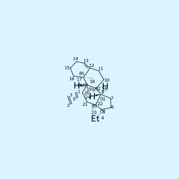 C=C.C=C.CC[C@H]1CC[C@H]2[C@@H]3CCC4=CCCC[C@]4(C)[C@H]3CC[C@]12C